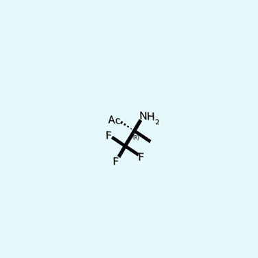 CC(=O)[C@@](C)(N)C(F)(F)F